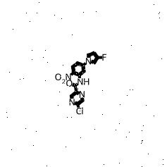 O=C(Nc1cc(-n2ccc(F)c2)ccc1[N+](=O)[O-])c1cnc(Cl)cn1